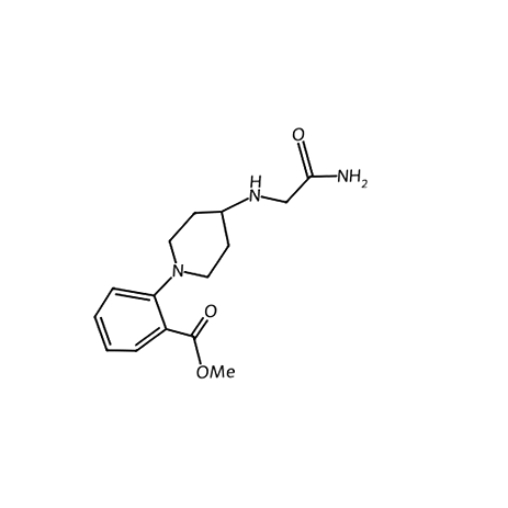 COC(=O)c1ccccc1N1CCC(NCC(N)=O)CC1